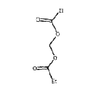 CCC(=O)OCOC(=O)CC